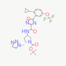 CC(C)(C)OC(=O)N1C[C@H](NC(=O)c2noc(-c3cc(OC(F)(F)F)ccc3C3CC3)n2)C[C@H]1Cn1ccnn1